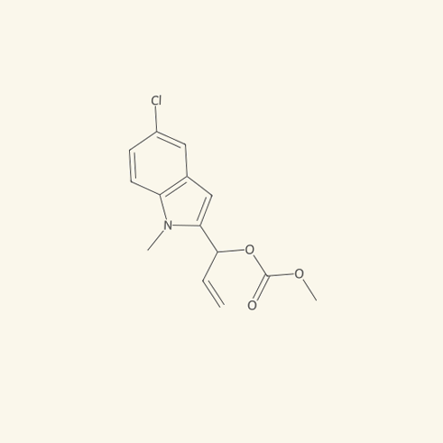 C=CC(OC(=O)OC)c1cc2cc(Cl)ccc2n1C